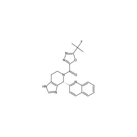 CC(C)(F)c1nnc(C(=O)N2CCc3[nH]cnc3[C@H]2c2ccc3ccccc3n2)o1